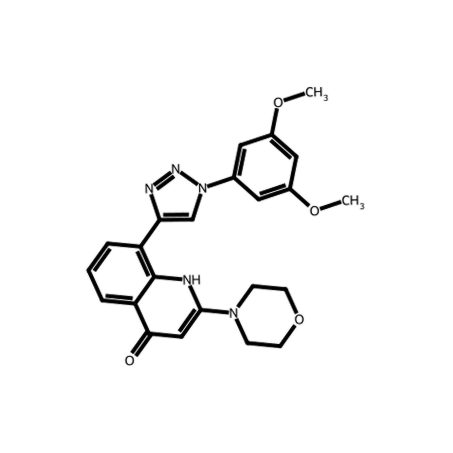 COc1cc(OC)cc(-n2cc(-c3cccc4c(=O)cc(N5CCOCC5)[nH]c34)nn2)c1